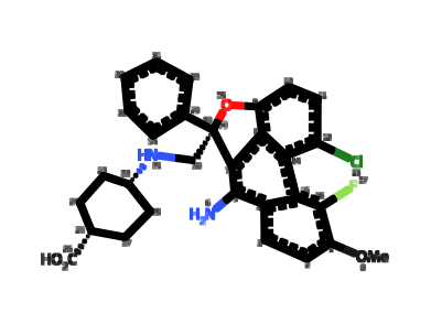 COc1ccc2c(N)c3c4c(ccc(Cl)c4c2c1F)O[C@]3(CN[C@H]1CC[C@@H](C(=O)O)CC1)c1ccccc1